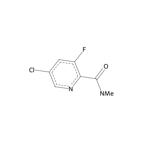 CNC(=O)c1ncc(Cl)cc1F